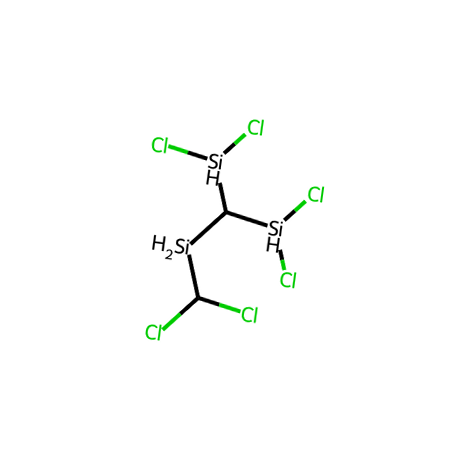 ClC(Cl)[SiH2]C([SiH](Cl)Cl)[SiH](Cl)Cl